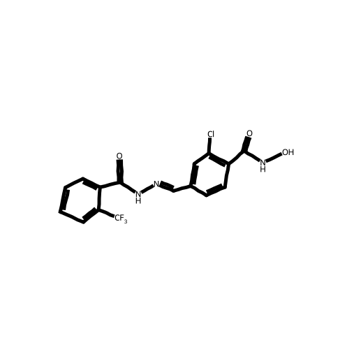 O=C(NO)c1ccc(/C=N/NC(=O)c2ccccc2C(F)(F)F)cc1Cl